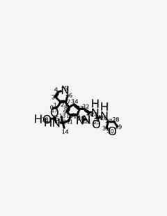 CCc1ccncc1-c1cc(CC(C)(C)NC(=O)O)c2nnc(NC(=O)NC3CCOC3)cc2c1